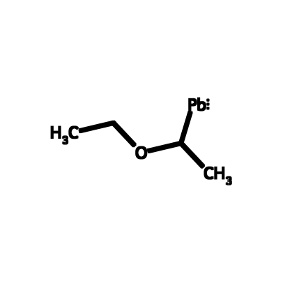 CCO[CH](C)[Pb]